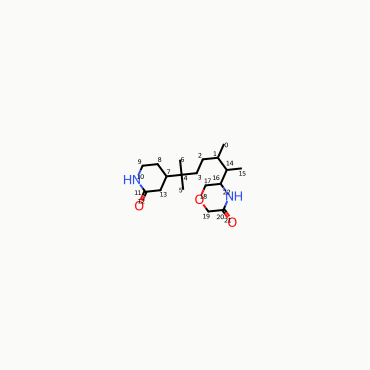 CC(CCC(C)(C)C1CCNC(=O)C1)C(C)C1COCC(=O)N1